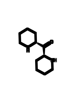 O=C([C@H]1CCCCN1)[C@H]1CCCCN1